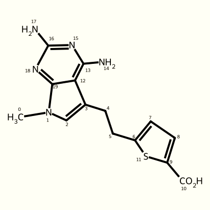 Cn1cc(CCc2ccc(C(=O)O)s2)c2c(N)nc(N)nc21